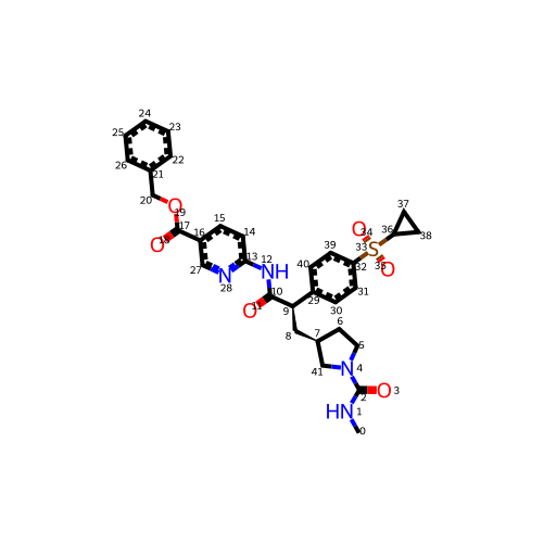 CNC(=O)N1CC[C@H](C[C@@H](C(=O)Nc2ccc(C(=O)OCc3ccccc3)cn2)c2ccc(S(=O)(=O)C3CC3)cc2)C1